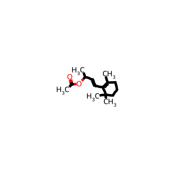 CC(=O)OC(C)/C=C/C1=C(C)CCCC1(C)C